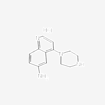 Cl.Nc1ccc2nccc(N3CCNCC3)c2c1